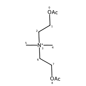 CC(=O)OCC[N+](C)(C)CCOC(C)=O